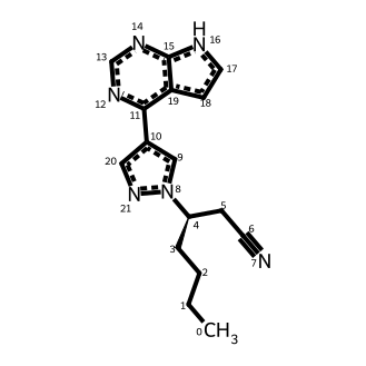 CCCC[C@H](CC#N)n1cc(-c2ncnc3[nH]ccc23)cn1